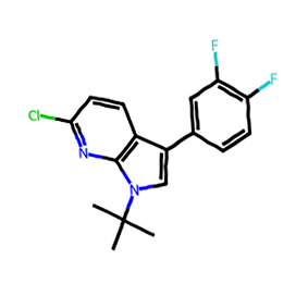 CC(C)(C)n1cc(-c2ccc(F)c(F)c2)c2ccc(Cl)nc21